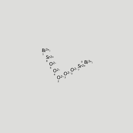 [Bi+3].[Bi+3].[O-2].[O-2].[O-2].[O-2].[O-2].[Sr+2].[Sr+2]